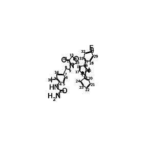 NC(=O)Nc1ccc(CCN2C(=O)CO[C@@H]2c2cn(-c3ccccc3)nc2-c2ccc(F)cc2)cc1I